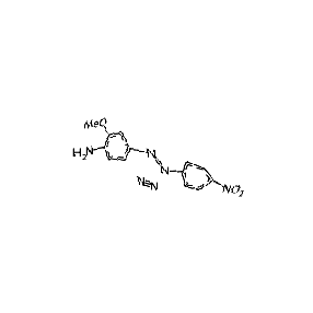 COc1cc(N=Nc2ccc([N+](=O)[O-])cc2)ccc1N.N#N